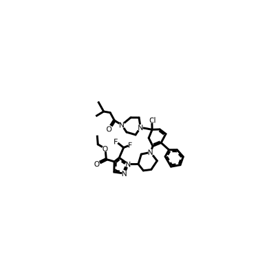 CCOC(=O)c1cnn(C2CCCN(C3=C(c4ccccc4)C=CC(Cl)(N4CCN(C(=O)CC(C)C)CC4)C3)C2)c1C(F)F